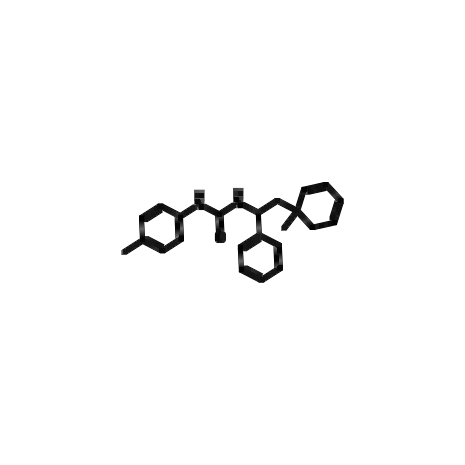 Cc1ccc(NC(=O)NC(CC2(C)C=CC=CC2)c2ccccc2)cc1